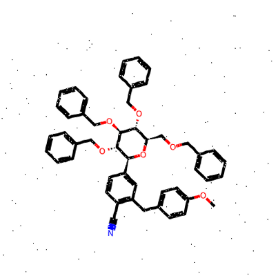 COc1ccc(Cc2cc([C@@H]3O[C@H](COCc4ccccc4)[C@@H](OCc4ccccc4)[C@H](OCc4ccccc4)[C@H]3OCc3ccccc3)ccc2C#N)cc1